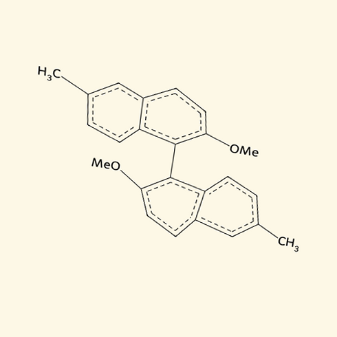 COc1ccc2cc(C)ccc2c1-c1c(OC)ccc2cc(C)ccc12